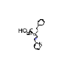 O=C(O)N[C@H](/C=C/c1ccccn1)CCc1ccccc1